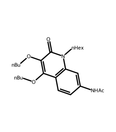 CCCCCCn1c(=O)c(OCCCC)c(OCCCC)c2ccc(NC(C)=O)cc21